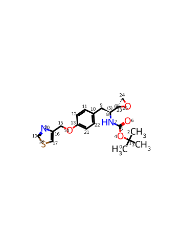 CC(C)(C)OC(=O)N[C@@H](Cc1ccc(OCc2cscn2)cc1)[C@@H]1CO1